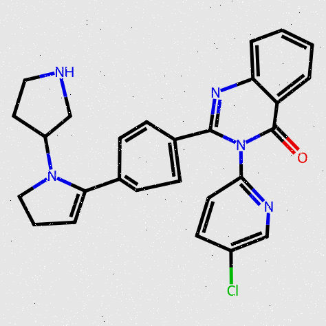 O=c1c2ccccc2nc(-c2ccc(C3=CCCN3C3CCNC3)cc2)n1-c1ccc(Cl)cn1